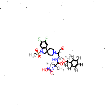 O=CO.[2H]c1c([2H])c([2H])c(C([2H])([2H])OC[C@H](NC(=O)C(C)(C)N)C(=C=O)N2CCC3(CC2)CN(S(C)(=O)=O)c2cc(F)c(F)cc23)c([2H])c1[2H]